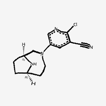 N#Cc1cc(N2CC[C@H]3CC[C@@H](C2)N3)cnc1Cl